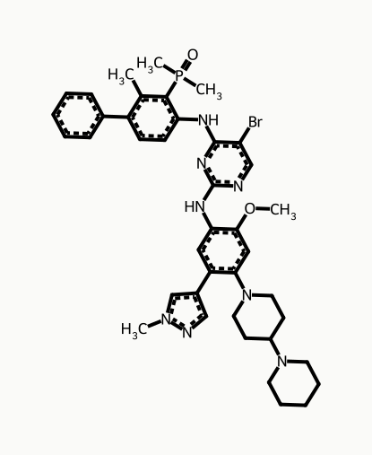 COc1cc(N2CCC(N3CCCCC3)CC2)c(-c2cnn(C)c2)cc1Nc1ncc(Br)c(Nc2ccc(-c3ccccc3)c(C)c2P(C)(C)=O)n1